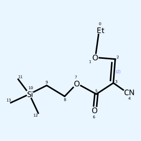 CCO/C=C(/C#N)C(=O)OCC[Si](C)(C)C